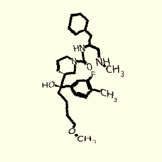 CNCC(CC1CCCCC1)NC(=O)N1CCC[C@@H]([C@@](O)(CCCCOC)c2ccc(C)c(F)c2)C1